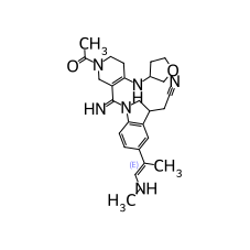 CN/C=C(\C)c1ccc2c(c1)C(CC#N)CN2C(=N)C1=C(NC2CCOC2)CCN(C(C)=O)C1